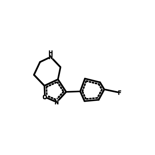 Fc1ccc(-c2noc3c2CNCC3)cc1